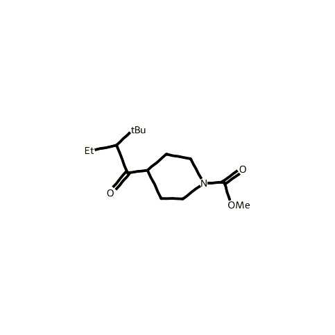 CCC(C(=O)C1CCN(C(=O)OC)CC1)C(C)(C)C